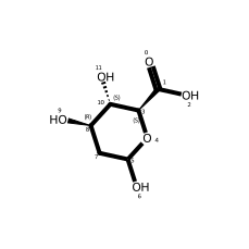 O=C(O)[C@H]1OC(O)C[C@@H](O)[C@@H]1O